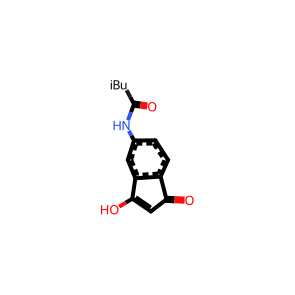 CCC(C)C(=O)Nc1ccc2c(c1)C(O)=CC2=O